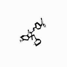 CCN(C)c1ccc(/C=C/C2=[N+](C)c3ccc(F)cc3C2(C)Cc2cccs2)cc1